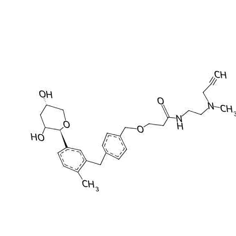 C#CCN(C)CCNC(=O)CCOCc1ccc(Cc2cc([C@@H]3OC[C@@H](O)CC3O)ccc2C)cc1